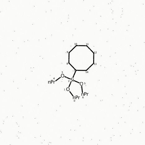 CCCO[Si](OCCC)(OCCC)C1CCCCCCC1